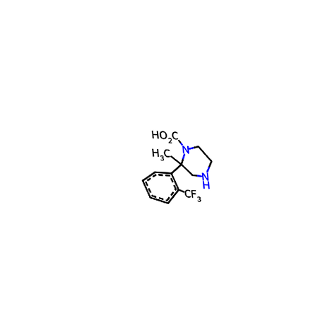 CC1(c2ccccc2C(F)(F)F)CNCCN1C(=O)O